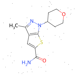 Cc1nn(C2CCOCC2)c2sc(C(N)=O)cc12